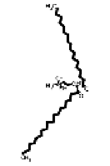 CCCCCCCCCCCCCCCCCCC(=O)[PH-](OCC[N+](C)(C)C)C(=O)CCCCCCCCCCCCCCCCCC